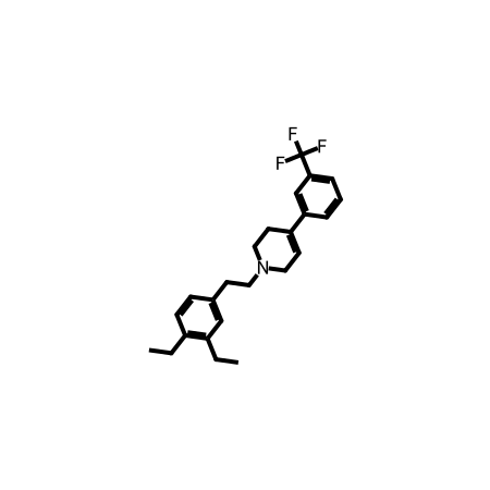 CCc1ccc(CCN2CC=C(c3cccc(C(F)(F)F)c3)CC2)cc1CC